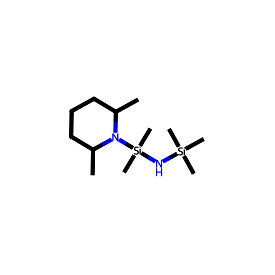 CC1CCCC(C)N1[Si](C)(C)N[Si](C)(C)C